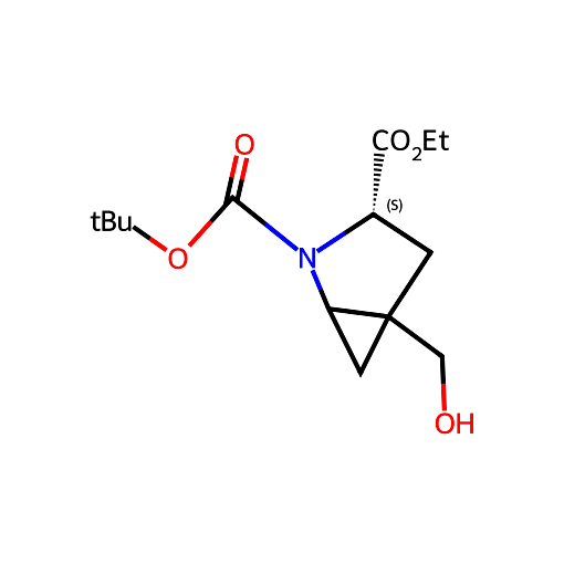 CCOC(=O)[C@@H]1CC2(CO)CC2N1C(=O)OC(C)(C)C